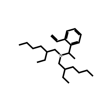 C=Cc1ccccc1C(C)N(CC(CC)CCCC)CC(CC)CCCC